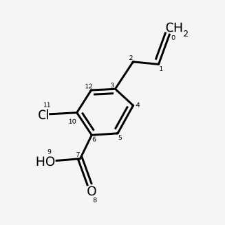 C=CCc1ccc(C(=O)O)c(Cl)c1